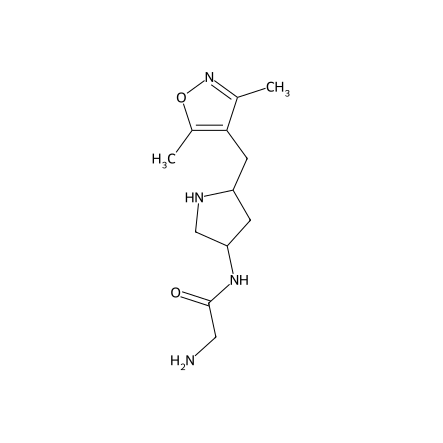 Cc1noc(C)c1CC1CC(NC(=O)CN)CN1